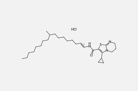 CCCCCCCCC(C)CCCCCC/C=C/NC(=O)C1=C(C2CC2)N2CCCN=C2S1.Cl